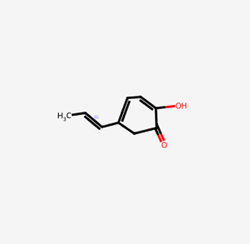 C/C=C/C1=CC=C(O)C(=O)C1